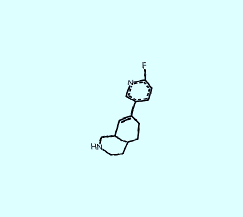 Fc1ccc(C2=CC3CNCCC3CC2)cn1